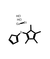 CC1=C(C)C(C)[C]([Zr][C]2=CC=CC2)=C1C.C[CH2][Ge].Cl.Cl